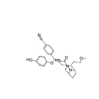 COCCC1C2CCC(CN1C(=O)O)N2CCCC(Oc1ccc(O)cc1)c1ccc(C#N)cc1